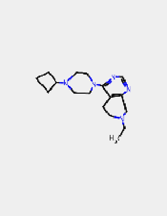 CCN1CCc2c(ncnc2N2CCN(C3CCC3)CC2)C1